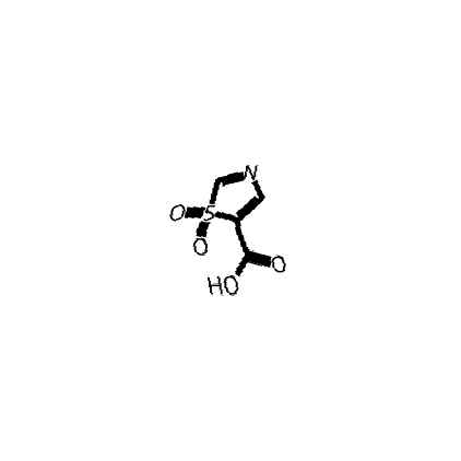 O=C(O)C1=CN=CS1(=O)=O